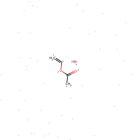 Br.C=COC(C)=O